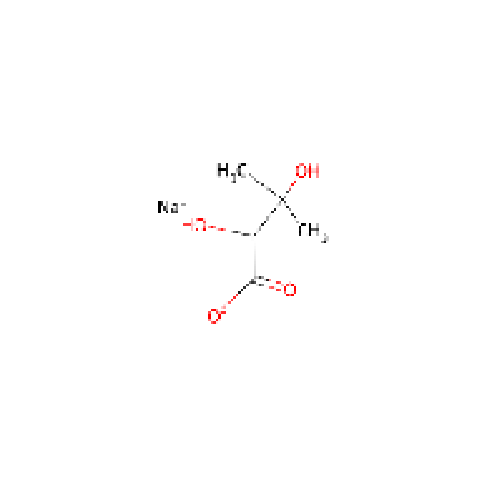 CC(C)(O)C(O)C(=O)[O-].[Na+]